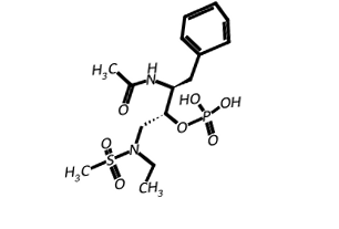 CCN(C[C@@H](OP(=O)(O)O)[C@H](Cc1ccccc1)NC(C)=O)S(C)(=O)=O